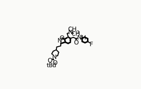 CN(C)Cc1c(CC(=O)Nc2ccc(F)cc2)ccc2c(CCC3CCN(C(=O)OC(C)(C)C)CC3)noc12